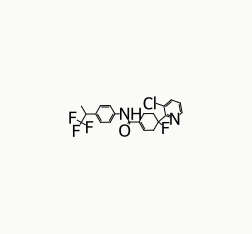 CC(c1ccc(NC(=O)C2=CCC(F)(c3ncccc3Cl)CC2)cc1)C(F)(F)F